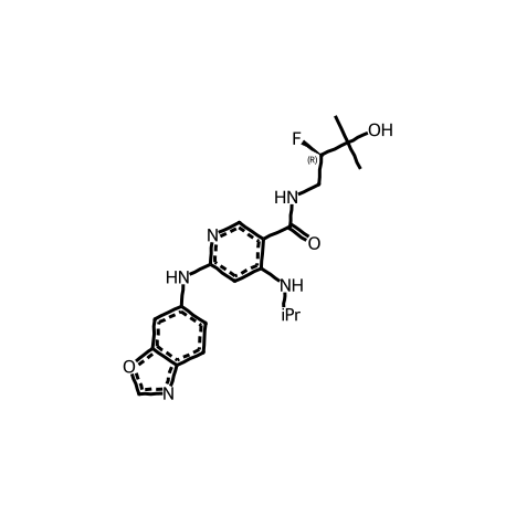 CC(C)Nc1cc(Nc2ccc3ncoc3c2)ncc1C(=O)NC[C@@H](F)C(C)(C)O